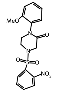 COc1ccccc1N1CCN(S(=O)(=O)c2ccccc2[N+](=O)[O-])CC1=O